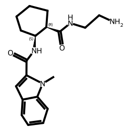 Cn1c(C(=O)N[C@H]2CCCC[C@H]2C(=O)NCCN)cc2ccccc21